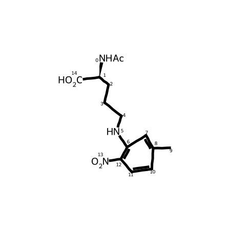 CC(=O)N[C@@H](CCCNc1cc(C)ccc1[N+](=O)[O-])C(=O)O